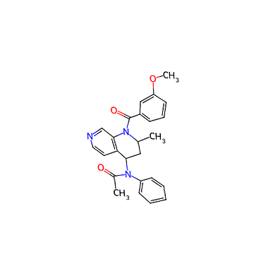 COc1cccc(C(=O)N2c3cnccc3C(N(C(C)=O)c3ccccc3)CC2C)c1